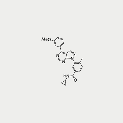 COc1cccc(-c2ncnc3c2cnn3-c2cc(C(=O)NC3CC3)ccc2C)c1